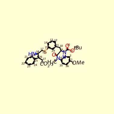 COc1ccc(N(C)C(=O)C(Cc2cccc(SCc3[nH]c4ccccc4c3CC(=O)O)c2)NC(=O)OC(C)(C)C)cc1